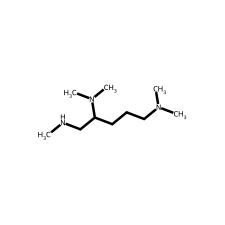 CNCC(CCCN(C)C)N(C)C